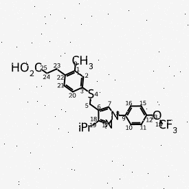 Cc1cc(SCc2cn(-c3ccc(OC(F)(F)F)cc3)nc2C(C)C)ccc1CCC(=O)O